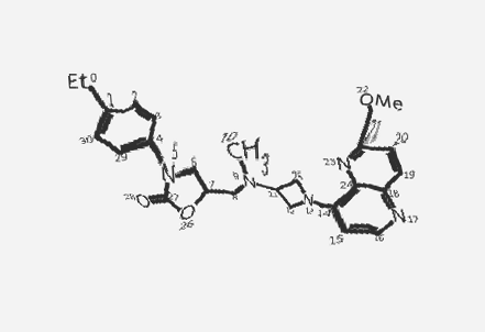 CCc1ccc(N2CC(CN(C)C3CN(c4ccnc5ccc(OC)nc45)C3)OC2=O)cc1